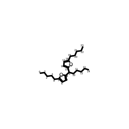 CCCCCc1ccc(C(CCCCC)c2ccc(CCCCC)o2)o1